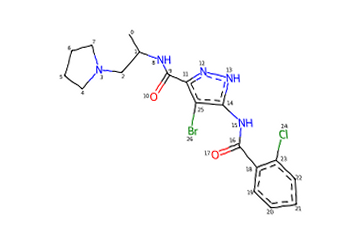 CC(CN1CCCC1)NC(=O)c1n[nH]c(NC(=O)c2ccccc2Cl)c1Br